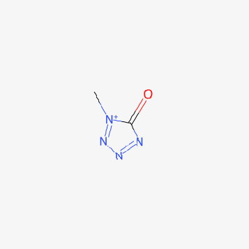 C[N+]1=NN=NC1=O